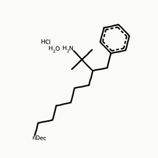 CCCCCCCCCCCCCCCCC(Cc1ccccc1)C(C)(C)N.Cl.O